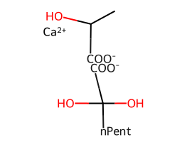 CC(O)C(=O)[O-].CCCCCC(O)(O)C(=O)[O-].[Ca+2]